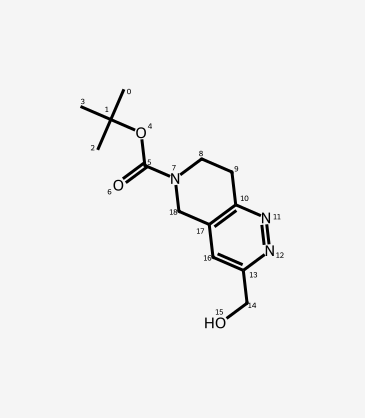 CC(C)(C)OC(=O)N1CCc2nnc(CO)cc2C1